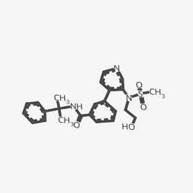 CC(C)(NC(=O)c1cccc(-c2ccncc2N(CCO)S(C)(=O)=O)c1)c1ccccc1